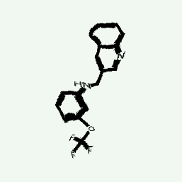 FC(F)(F)Oc1cccc(NCc2cnc3ccccc3c2)c1